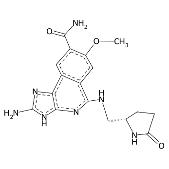 COc1cc2c(NC[C@@H]3CCC(=O)N3)nc3[nH]c(N)nc3c2cc1C(N)=O